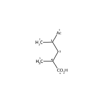 CC(=O)C(C)CC(C)C(=O)O